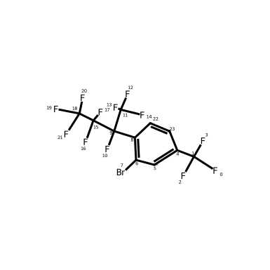 FC(F)(F)c1[c]c(Br)c(C(F)(C(F)(F)F)C(F)(F)C(F)(F)F)cc1